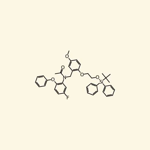 COc1ccc(OCCO[Si](c2ccccc2)(c2ccccc2)C(C)(C)C)c(CN(C(C)=O)c2cc(F)ccc2Oc2ccccc2)c1